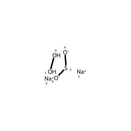 OO.[Na+].[Na+].[O-]S[O-]